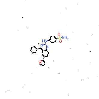 NS(=O)(=O)c1ccc(Nc2nc(-c3ccccc3)c3cc(-c4ccco4)ccc3n2)cc1